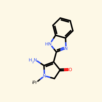 CC(C)N1CC(=O)C(c2nc3ccccc3[nH]2)=C1N